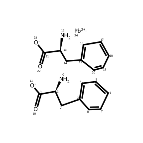 N[C@@H](Cc1ccccc1)C(=O)[O-].N[C@@H](Cc1ccccc1)C(=O)[O-].[Pb+2]